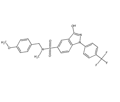 COc1ccc(CN(C)S(=O)(=O)c2ccc3c(c2)c(O)nn3-c2ccc(C(F)(F)F)cc2)cc1